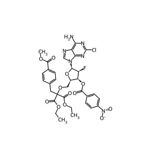 CCOC(=O)C(Cc1ccc(C(=O)OC)cc1)(OC[C@H]1O[C@@H](n2cnc3c(N)nc(Cl)nc32)[C@@H](F)[C@H]1OC(=O)c1ccc([N+](=O)[O-])cc1)C(=O)OCC